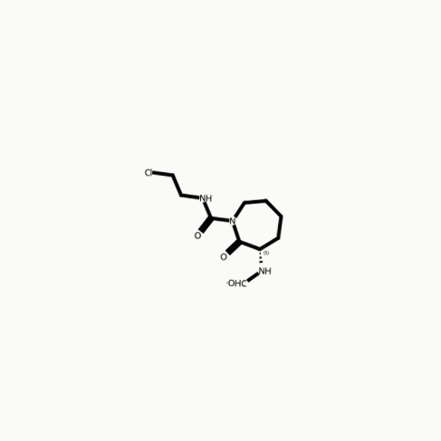 O=[C]N[C@H]1CCCCN(C(=O)NCCCl)C1=O